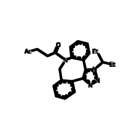 CCC(CC)n1nnc2c1-c1ccccc1N(C(=O)CCC(C)=O)Cc1ccccc1-2